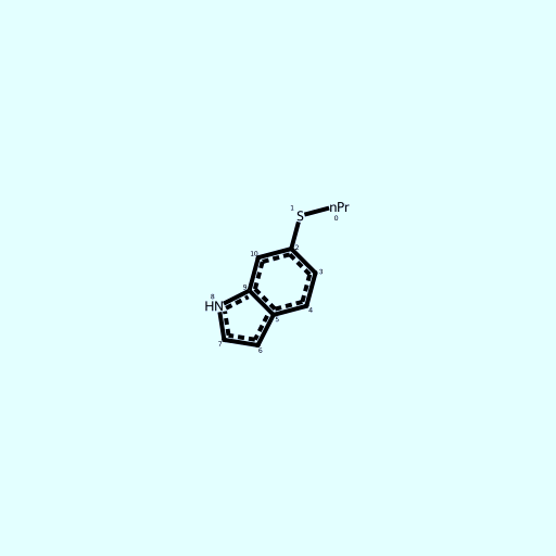 CCCSc1ccc2cc[nH]c2c1